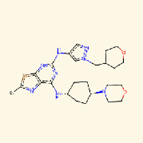 CCc1nc2c(N[C@H]3CC[C@H](N4CCOCC4)CC3)nc(Nc3cnn(CC4CCOCC4)c3)nc2s1